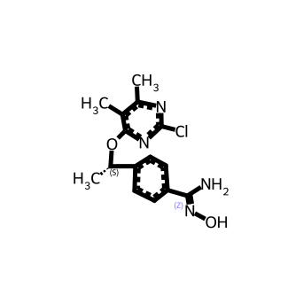 Cc1nc(Cl)nc(O[C@@H](C)c2ccc(/C(N)=N/O)cc2)c1C